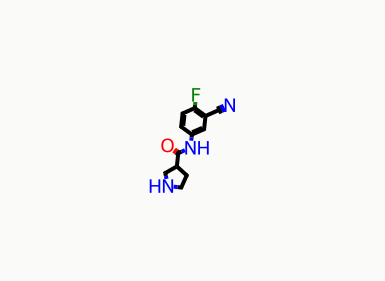 N#Cc1cc(NC(=O)C2CCNC2)ccc1F